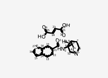 O=C(N[C@H]1CN2CCC1CC2)c1ccc2ccsc2c1.O=C(O)C=CC(=O)O